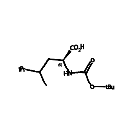 CC(C)C(C)C[C@H](NC(=O)OC(C)(C)C)C(=O)O